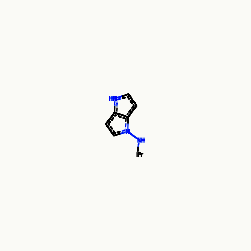 CC(C)Nn1ccc2[nH]ccc21